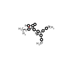 COc1ccc(-c2ccc(N(c3ccc(-c4ccc(OC)cc4)cc3)c3ccc(-c4ccc5c(c4)c4c6ccccc6cc(-c6ccc(F)cc6)c4n5-c4ccc(OCC(C)C)cc4)c4nsnc34)cc2)cc1